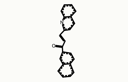 O=C(/C=C/c1ccc2ccccc2n1)c1ccc2ccccc2c1